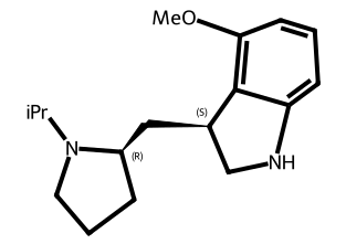 COc1cccc2c1[C@H](C[C@H]1CCCN1C(C)C)CN2